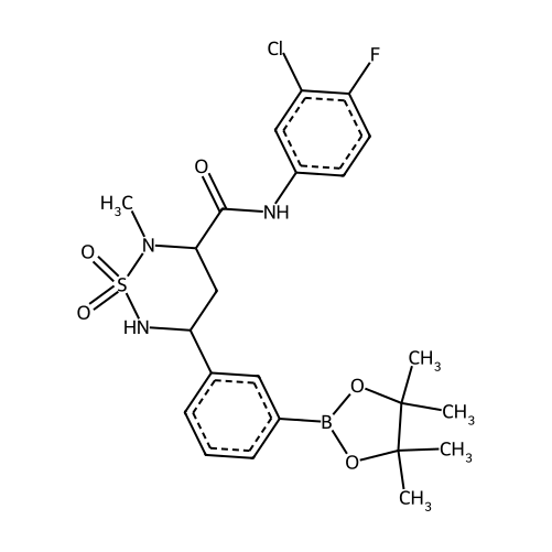 CN1C(C(=O)Nc2ccc(F)c(Cl)c2)CC(c2cccc(B3OC(C)(C)C(C)(C)O3)c2)NS1(=O)=O